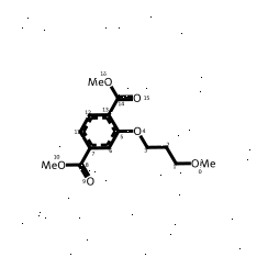 COCCCOc1cc(C(=O)OC)ccc1C(=O)OC